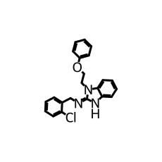 Clc1ccccc1CN=c1[nH]c2ccccc2n1CCOc1ccccc1